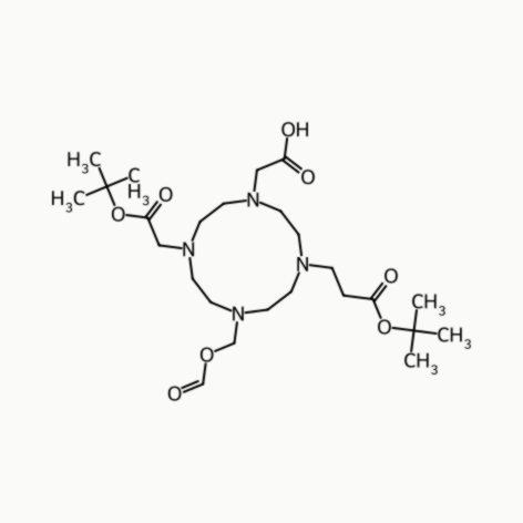 CC(C)(C)OC(=O)CCN1CCN(COC=O)CCN(CC(=O)OC(C)(C)C)CCN(CC(=O)O)CC1